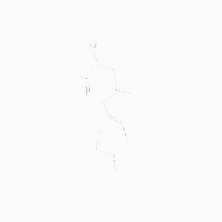 CCc1c(-c2ccc(OC)nc2)cnc(N)c1Br